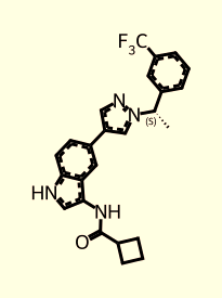 C[C@@H](c1cccc(C(F)(F)F)c1)n1cc(-c2ccc3[nH]cc(NC(=O)C4CCC4)c3c2)cn1